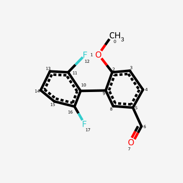 COc1ccc(C=O)cc1-c1c(F)cccc1F